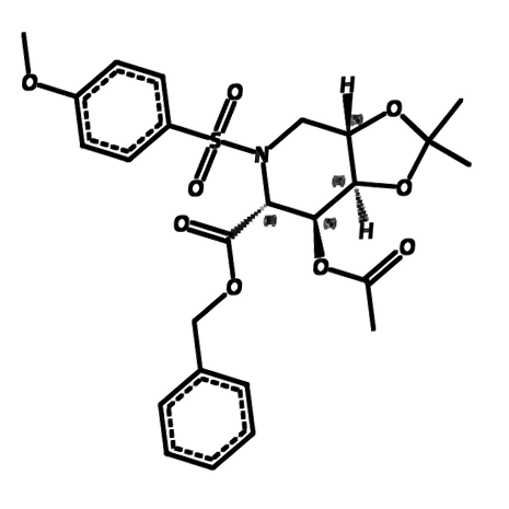 COc1ccc(S(=O)(=O)N2C[C@@H]3OC(C)(C)O[C@H]3[C@@H](OC(C)=O)[C@@H]2C(=O)OCc2ccccc2)cc1